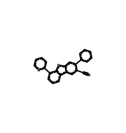 N#Cc1cc2c(cc1-c1ccccc1)oc1c(-c3ccccn3)cccc12